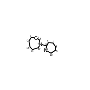 C1CCCN(C2CCCCC[N]2)CCC1